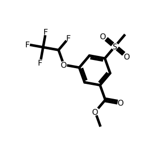 COC(=O)c1cc(OC(F)C(F)(F)F)cc(S(C)(=O)=O)c1